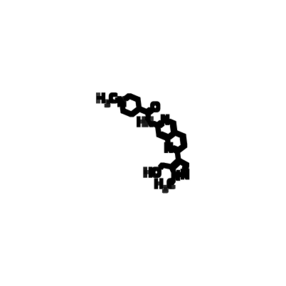 CN1CCC(C(=O)Nc2cc3nc(-c4cnn(C)c4CO)ccc3cn2)CC1